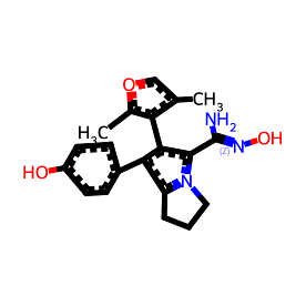 Cc1coc(C)c1-c1c(-c2ccc(O)cc2)c2n(c1/C(N)=N/O)CCC2